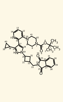 CC(C)(C)OC(=O)N1CCN(c2cccnc2-c2cn(C3CC(CN4C(=O)c5ccccc5C4=O)C3)nc2C2CC2)CC1